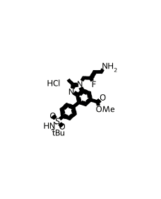 COC(=O)c1cc(-c2ccc(S(=O)(=O)NC(C)(C)C)cc2)c2nc(C)n(C/C(F)=C/CN)c2c1.Cl